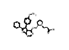 COc1ccc(-c2c(-c3ccccc3)oc3ncnc(OC[C@H]4CCCN4CCC(=O)O)c23)cc1